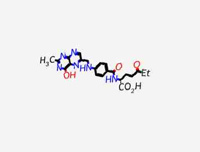 CCC(=O)CC[C@@H](NC(=O)c1ccc(NCc2cnc3nc(C)nc(O)c3n2)cc1)C(=O)O